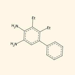 CCc1c(-c2ccccc2)cc(N)c(N)c1CC